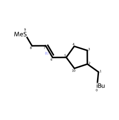 CCC(C)CC1CCC(/C=C/CSC)C1